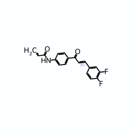 C=CC(=O)Nc1ccc(C(=O)/C=C/c2ccc(F)c(F)c2)cc1